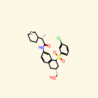 C[C@H](C(=O)Nc1ccc2c(c1)C(S(=O)(=O)c1cccc(Cl)c1)C[C@H](CO)C2)C1CCCCC1